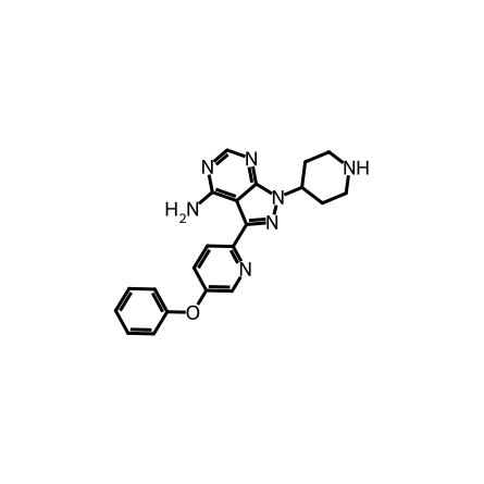 Nc1ncnc2c1c(-c1ccc(Oc3ccccc3)cn1)nn2C1CCNCC1